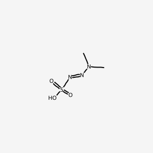 CN(C)N=NS(=O)(=O)O